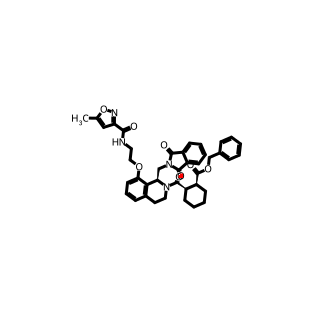 Cc1cc(C(=O)NCCOc2cccc3c2[C@@H](CN2C(=O)c4ccccc4C2=O)N(C(=O)[C@@H]2CCCC[C@@H]2C(=O)OCc2ccccc2)CC3)no1